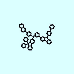 c1ccc(-c2ccc(C3c4ccccc4-c4ccc(-c5cccc(N(c6ccc(-c7ccc8ccccc8c7)cc6)c6ccc7c(c6)C(c6ccccc6)(c6ccccc6)c6ccccc6-7)c5)cc43)cc2)cc1